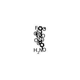 COCCN1C(=O)c2oc3cc(C(N)=O)ccc3c2OCC1(C)C(=O)NCc1c(OC)ccc(F)c1F